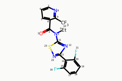 CCN(C(=O)c1cccnc1C(F)(F)F)c1nc(-c2c(F)cccc2F)ns1